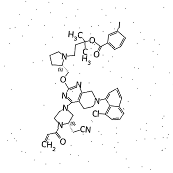 C=CC(=O)N1CCN(c2nc(OC[C@@H]3CCCN3CCC(C)(C)OC(=O)c3cccc(I)c3)nc3c2CCN(c2cccc4cccc(Cl)c24)C3)C[C@@H]1CC#N